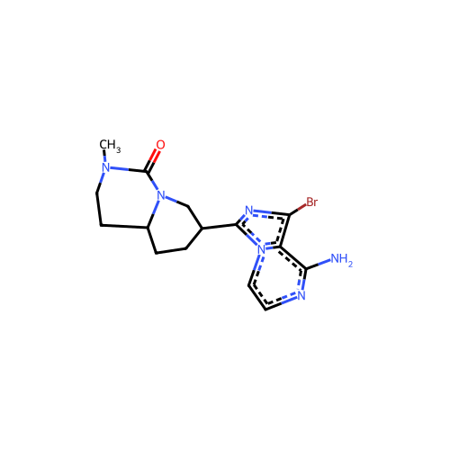 CN1CCC2CCC(c3nc(Br)c4c(N)nccn34)CN2C1=O